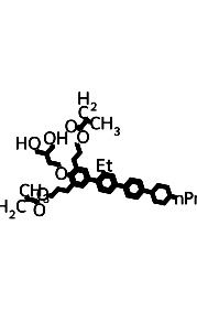 C=C(C)C(=O)OCCCc1cc(-c2ccc(-c3ccc(C4CCC(CCC)CC4)cc3)cc2CC)cc(CCCOC(=O)C(=C)C)c1OCCC(CO)CO